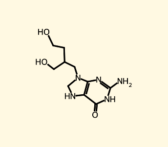 Nc1nc2c(c(=O)[nH]1)NCN2CC(CO)CCO